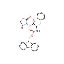 O=C(N[C@@H](Cc1ccccc1)C(=O)ON1C(=O)CCC1=O)OCC1c2ccccc2-c2ccccc21